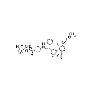 COCCOc1ccc(C#N)c(-c2cc(C(CNC3CCC(NC(=O)OC(C)(C)C)CC3)c3ccccc3)cc(F)c2Cl)c1F